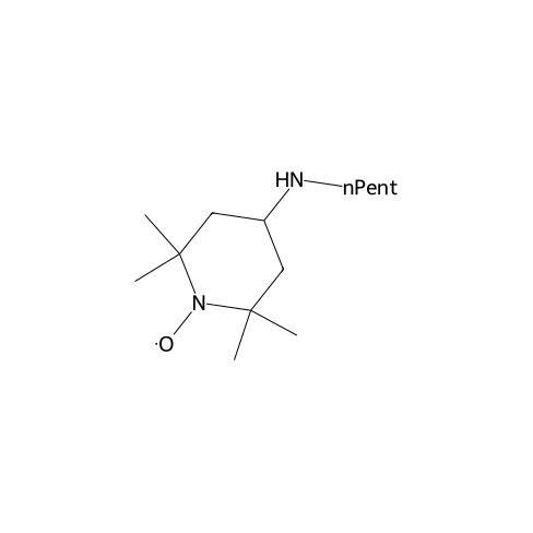 CCCCCNC1CC(C)(C)N([O])C(C)(C)C1